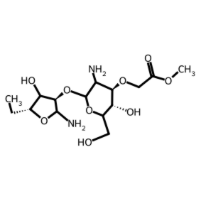 CC[C@H]1OC(N)[C@H](OC2OC(CO)[C@@H](O)[C@H](OCC(=O)OC)C2N)C1O